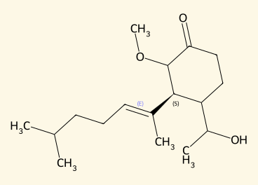 COC1C(=O)CCC(C(C)O)[C@H]1/C(C)=C/CCC(C)C